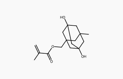 C=C(C)C(=O)OCC12CC3(C)CC(O)(CC(O)(C3)C1)C2